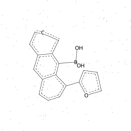 OB(O)c1c2ccccc2cc2cccc(-c3ccco3)c12